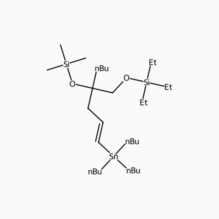 CCCCC(C/C=[CH]/[Sn]([CH2]CCC)([CH2]CCC)[CH2]CCC)(CO[Si](CC)(CC)CC)O[Si](C)(C)C